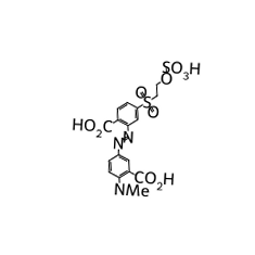 CNc1ccc(N=Nc2cc(S(=O)(=O)CCOS(=O)(=O)O)ccc2C(=O)O)cc1C(=O)O